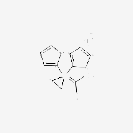 C[C](C)=[Hf+2]1([C]2=CC=CC2)([C]2=CC=CC2)[CH2][CH2]1.[Cl-].[Cl-]